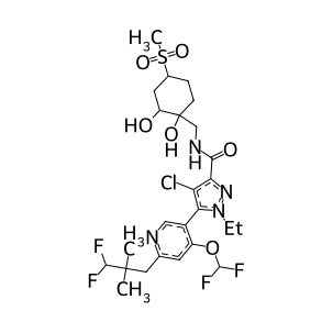 CCn1nc(C(=O)NCC2(O)CCC(S(C)(=O)=O)CC2O)c(Cl)c1-c1cnc(CC(C)(C)C(F)F)cc1OC(F)F